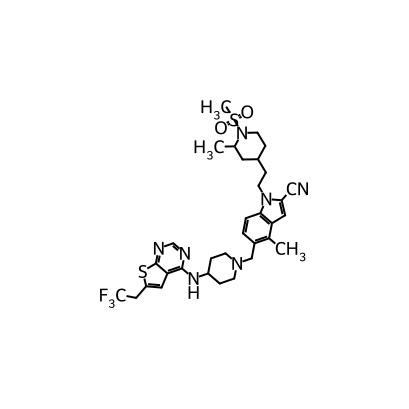 Cc1c(CN2CCC(Nc3ncnc4sc(CC(F)(F)F)cc34)CC2)ccc2c1cc(C#N)n2CCC1CCN(S(C)(=O)=O)C(C)C1